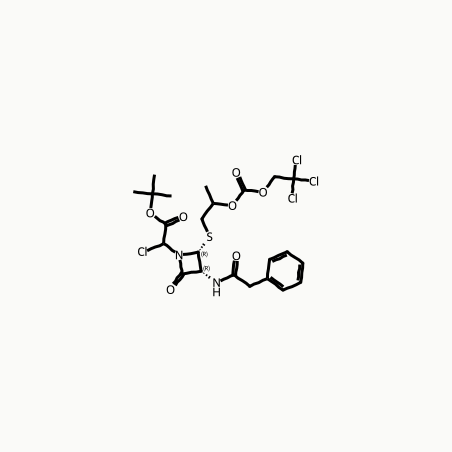 CC(CS[C@@H]1[C@H](NC(=O)Cc2ccccc2)C(=O)N1C(Cl)C(=O)OC(C)(C)C)OC(=O)OCC(Cl)(Cl)Cl